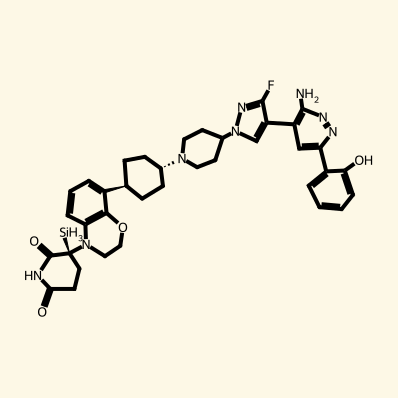 Nc1nnc(-c2ccccc2O)cc1-c1cn(C2CCN([C@H]3CC[C@H](c4cccc5c4OCCN5[C@]4([SiH3])CCC(=O)NC4=O)CC3)CC2)nc1F